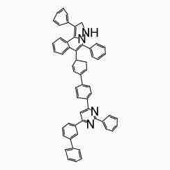 C1=CC(C2=C(c3ccccc3)N3NCC(c4ccccc4)=C3c3ccccc32)CC=C1c1ccc(-c2cc(-c3cccc(-c4ccccc4)c3)nc(-c3ccccc3)n2)cc1